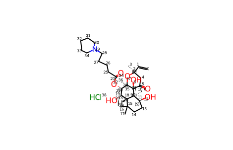 C=C[C@@]1(C)CC(=O)[C@]2(O)[C@@]3(C)[C@@H](O)CCC(C)(C)[C@@H]3[C@H](O)[C@H](OC(=O)CCCCN3CCCCC3)[C@@]2(C)O1.Cl